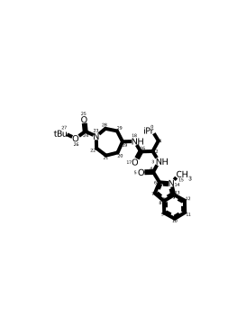 CC(C)CC(NC(=O)c1cc2ccccc2n1C)C(=O)NC1CCCN(C(=O)OC(C)(C)C)CC1